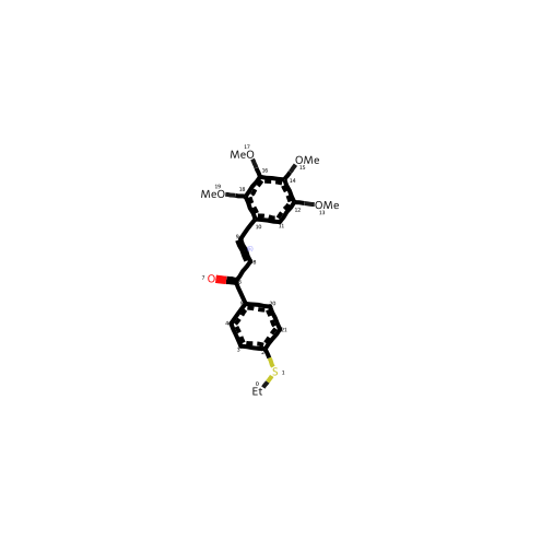 CCSc1ccc(C(=O)/C=C/c2cc(OC)c(OC)c(OC)c2OC)cc1